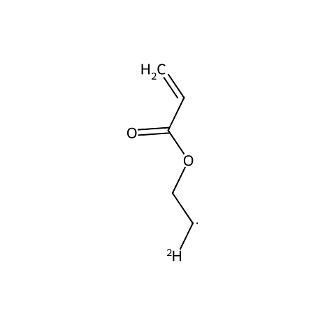 [2H][CH]COC(=O)C=C